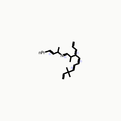 C=C/C=C(/C=C\C=C\C(C)(C)C=C)C(C)/C=N/C(C)/C=C/CCC